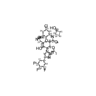 CC(=O)O[C@@H]1[C@@H](n2cc(-c3cc(F)c(F)c(F)c3)nn2)[C@@H](O)[C@@H](CO)O[C@H]1C(=O)N(c1cc(Cl)cc(C#N)c1)[C@H]1CC[C@@H]1O